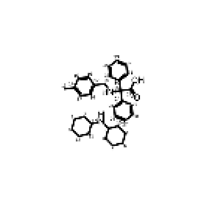 C1CCC(NC2CCCCC2)CC1.Cc1ccc(CNC(C(=O)O)(c2ccccc2)c2ccccc2)cc1